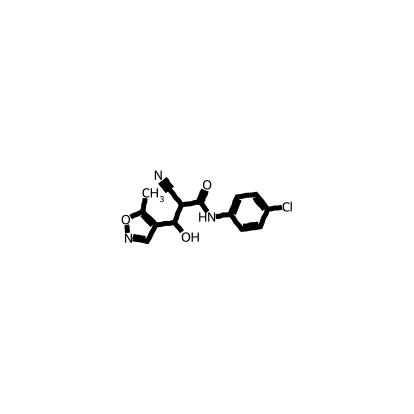 Cc1oncc1C(O)C(C#N)C(=O)Nc1ccc(Cl)cc1